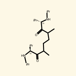 CC(C)N[C@H](C(=O)C(C)CCC(C)C(=O)[C@@H](NC(C)C)C(C)C)C(C)C